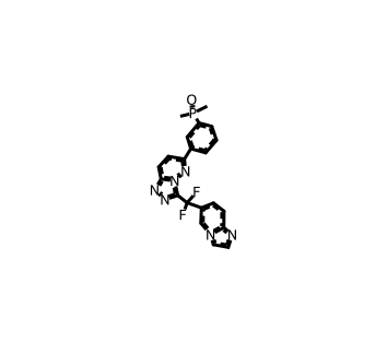 CP(C)(=O)c1cccc(-c2ccc3nnc(C(F)(F)c4ccc5nccn5c4)n3n2)c1